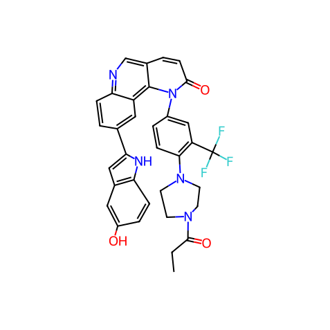 CCC(=O)N1CCN(c2ccc(-n3c(=O)ccc4cnc5ccc(-c6cc7cc(O)ccc7[nH]6)cc5c43)cc2C(F)(F)F)CC1